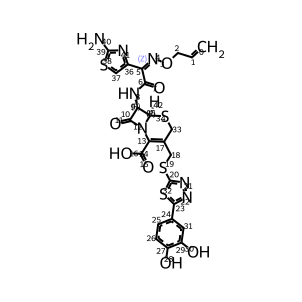 C=CCO/N=C(\C(=O)N[C@@H]1C(=O)N2C(C(=O)O)=C(CSc3nnc(-c4ccc(O)c(O)c4)s3)CS[C@H]12)c1csc(N)n1